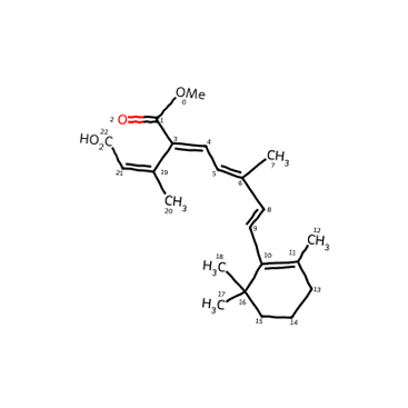 COC(=O)C(=C/C=C(C)C=CC1=C(C)CCCC1(C)C)/C(C)=C\C(=O)O